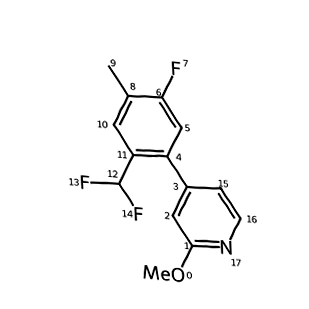 COc1cc(-c2cc(F)c(C)cc2C(F)F)ccn1